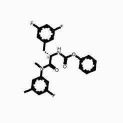 Cc1cc(F)cc(N(C)C(=O)[C@H](Cc2cc(F)cc(F)c2)NC(=O)Oc2ccccc2)c1